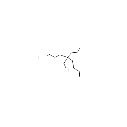 [CH2]CCC(CC)(CCCC)CCCC